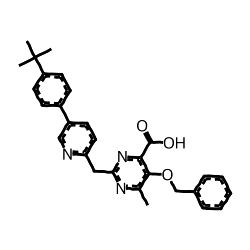 Cc1nc(Cc2ccc(-c3ccc(C(C)(C)C)cc3)cn2)nc(C(=O)O)c1OCc1ccccc1